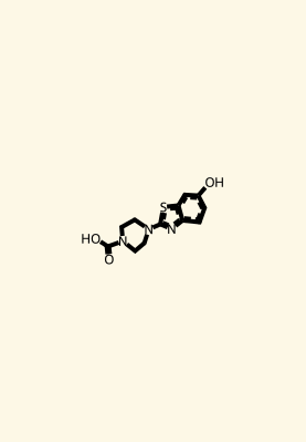 O=C(O)N1CCN(c2nc3ccc(O)cc3s2)CC1